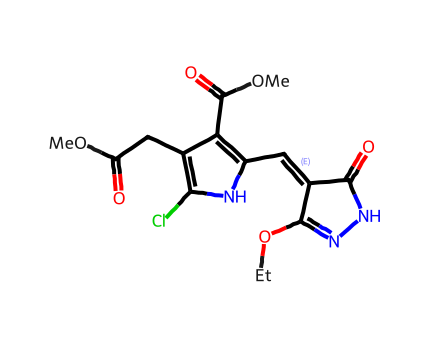 CCOC1=NNC(=O)/C1=C/c1[nH]c(Cl)c(CC(=O)OC)c1C(=O)OC